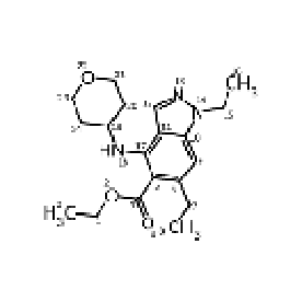 CCOC(=O)c1c(CC)cc2c(cnn2CC)c1NC1CCOCC1